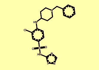 O=S(=O)(Nc1ncns1)c1ccc(NC2CCN(Cc3ccccc3)CC2)c(Cl)c1